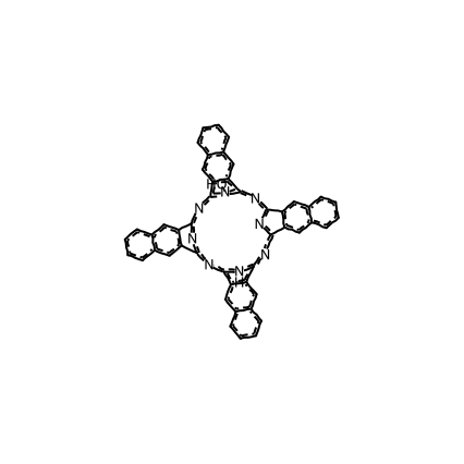 On1c2nc3nc(nc4[nH]c(nc5nc(nc1c1cc6ccccc6cc12)-c1cc2ccccc2cc1-5)c1cc2ccccc2cc41)-c1cc2ccccc2cc1-3